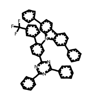 FC(F)(F)c1cccc(-c2ccc(-c3nc(-c4ccccc4)nc(-c4ccccc4)n3)cc2-n2c3cc(-c4ccccc4)ccc3c3ccc(-c4ccccc4)cc32)c1